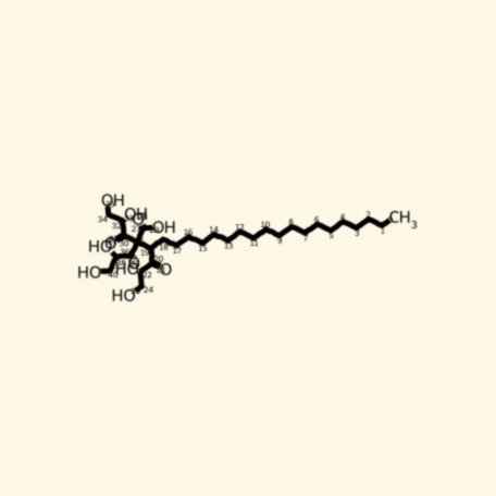 CCCCCCCCCCCCCCCCCCCC(C(=O)C(O)CO)C(C(=O)O)(C(=O)C(O)CO)C(=O)C(O)CO